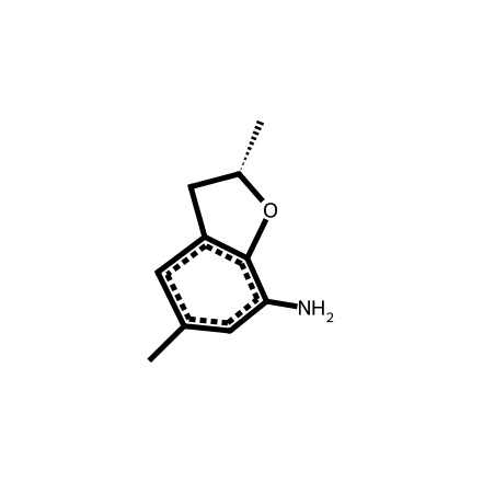 Cc1cc(N)c2c(c1)C[C@H](C)O2